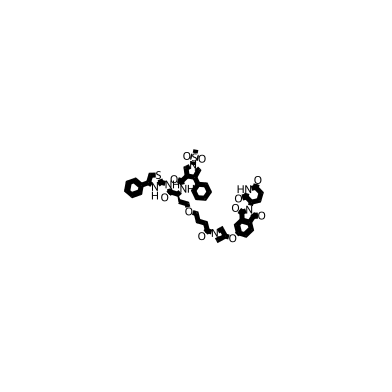 CS(=O)(=O)N1CC(C(=O)N[C@@H](CCOCCCC(=O)N2CC(Oc3ccc4c(c3)C(=O)N(C3CCC(=O)NC3=O)C4=O)C2)C(=O)NC2NC(c3ccccc3)CS2)C(C2CCCCC2)C1